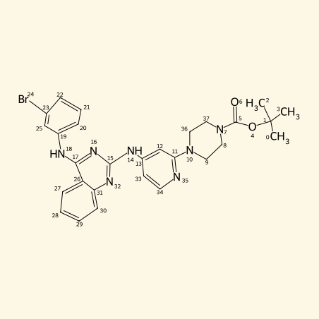 CC(C)(C)OC(=O)N1CCN(c2cc(Nc3nc(Nc4cccc(Br)c4)c4ccccc4n3)ccn2)CC1